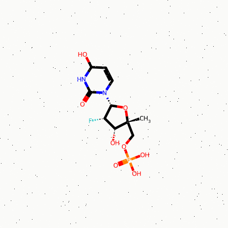 C[C@]1(COP(=O)(O)O)O[C@@H](N2C=CC(O)NC2=O)[C@@H](F)[C@H]1O